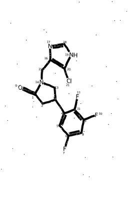 O=C1CC(c2cc(F)cc(F)c2F)CN1Cc1nc[nH]c1Cl